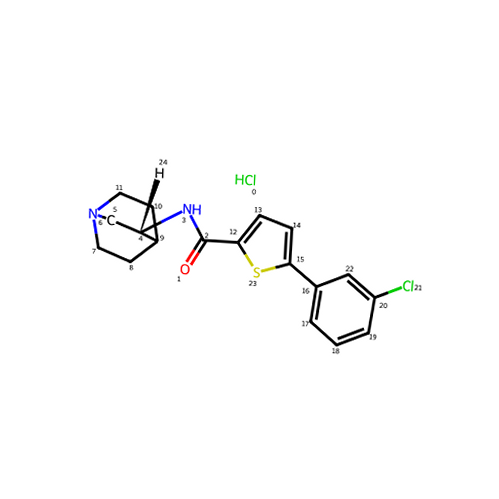 Cl.O=C(N[C@H]1CN2CCC1CC2)c1ccc(-c2cccc(Cl)c2)s1